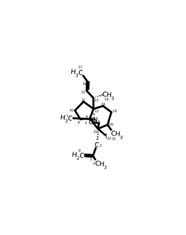 C=C(C)C[C@H]1ON(C)[C@@]23CCCC2([C@@H](C)/C=C/C)CCC(C)C13I